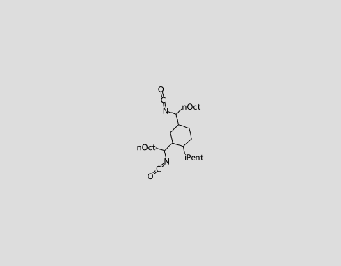 CCCCCCCCC(N=C=O)C1CCC(C(C)CCC)C(C(CCCCCCCC)N=C=O)C1